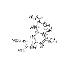 COC(C)NC1=NC(NC(C)C)N(S)C(C)=N1